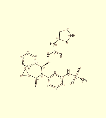 CS(=O)(=O)Nc1cccc(N(C(=O)C2CC2)[C@H](COC(=O)NC2CCNC2)c2ccccc2)c1